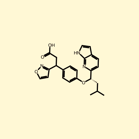 CC(C)C[C@H](Oc1ccc(C(CC(=O)O)c2ccon2)cc1)c1ccc2cc[nH]c2n1